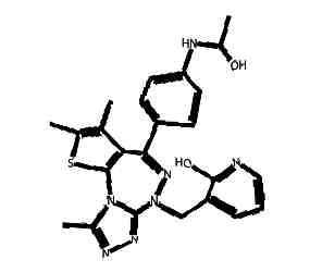 Cc1sc2c(c1C)C(c1ccc(NC(C)O)cc1)=NN(Cc1cccnc1O)c1nnc(C)n1-2